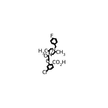 CC1CN(C(=O)COc2cc(Cl)ccc2C(=O)O)C(C)CN1Cc1ccc(F)cc1